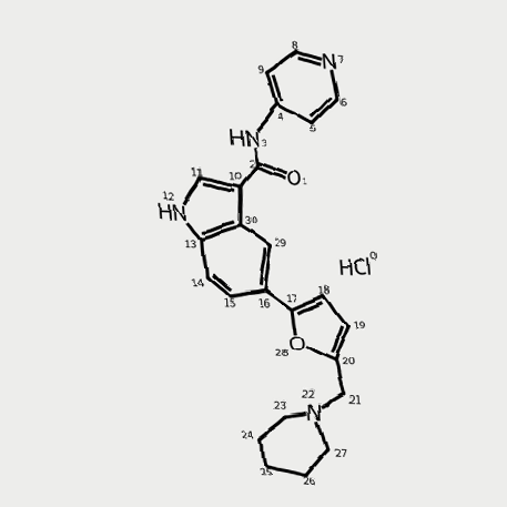 Cl.O=C(Nc1ccncc1)c1c[nH]c2ccc(-c3ccc(CN4CCCCC4)o3)cc12